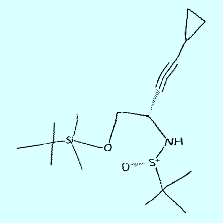 CC(C)(C)[S@+]([O-])N[C@@H](C#CC1CC1)CO[Si](C)(C)C(C)(C)C